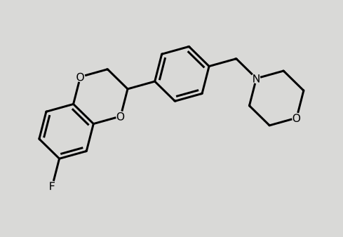 Fc1ccc2c(c1)OC(c1ccc(CN3CCOCC3)cc1)CO2